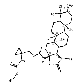 CC(=O)O[C@H]1CC[C@@]2(C)C(CC[C@]3(C)C2CCC2C4=C(C(C)C)C(=O)C[C@]4(NC(=O)OCC4(NC(=O)OC(C)(C)C)CC4)CC[C@]23C)C1(C)C